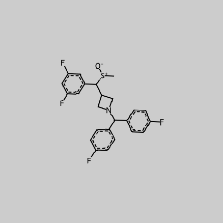 C[S+]([O-])C(c1cc(F)cc(F)c1)C1CN(C(c2ccc(F)cc2)c2ccc(F)cc2)C1